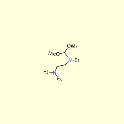 CCN(CC)CCN(CC)C(OC)OC